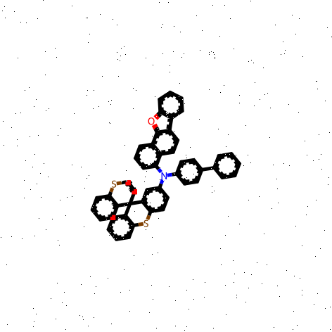 c1ccc(-c2ccc(N(c3ccc4c(c3)C3(c5ccccc5Sc5ccccc53)c3ccccc3S4)c3cccc4c3ccc3c5ccccc5oc43)cc2)cc1